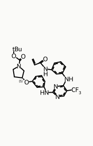 C=CC(=O)Nc1cccc(Nc2nc(Nc3cccc(O[C@H]4CCN(C(=O)OC(C)(C)C)C4)c3)ncc2C(F)(F)F)c1